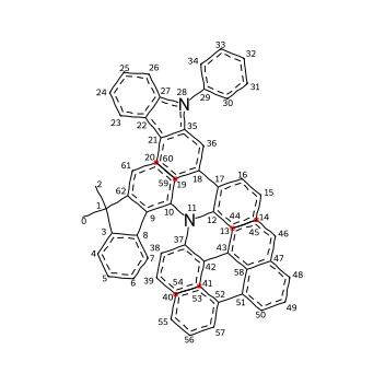 CC1(C)c2ccccc2-c2c(N(c3ccccc3-c3ccc4c5ccccc5n(-c5ccccc5)c4c3)c3ccccc3-c3cccc4cccc(-c5ccccc5)c34)cccc21